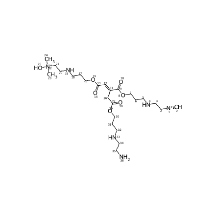 C#[N+]CCNCCCOC(=O)/C(=C/C(=O)OCCCNCC[N+](C)(C)O)CC(=O)OCCCNCCN